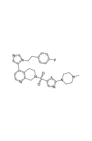 CN1CCN(c2ncc(S(=O)(=O)N3CCc4c(-c5cncn5CCc5ccc(F)cc5)ccnc4C3)s2)CC1